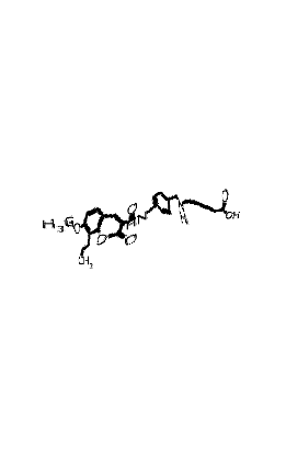 C=CCc1c(OC)ccc2cc(C(=O)Nc3ccc(CNCCC(=O)O)cc3)c(=O)oc12